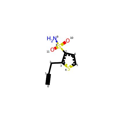 C#CCc1sccc1S(N)(=O)=O